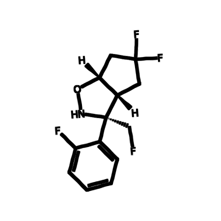 FC[C@]1(c2ccccc2F)NO[C@@H]2CC(F)(F)C[C@@H]21